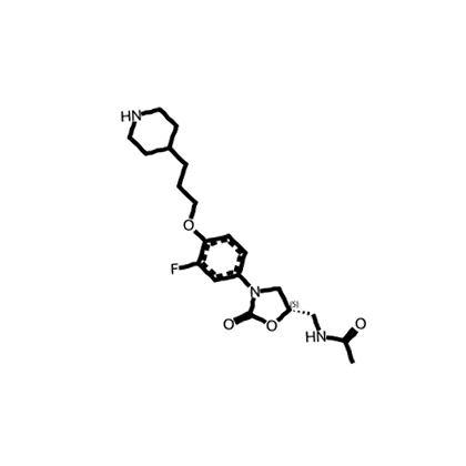 CC(=O)NC[C@H]1CN(c2ccc(OCCCC3CCNCC3)c(F)c2)C(=O)O1